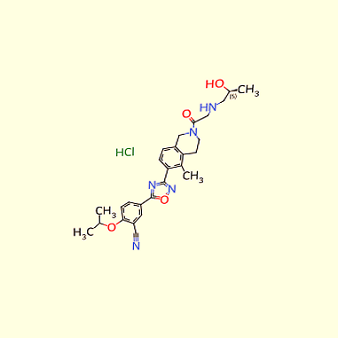 Cc1c(-c2noc(-c3ccc(OC(C)C)c(C#N)c3)n2)ccc2c1CCN(C(=O)CNC[C@H](C)O)C2.Cl